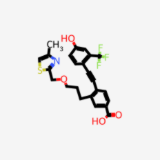 Cc1csc(COCCCc2cc(C(=O)O)ccc2C#Cc2ccc(O)cc2C(F)(F)F)n1